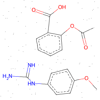 CC(=O)Oc1ccccc1C(=O)O.COc1ccc(NC(=N)N)cc1